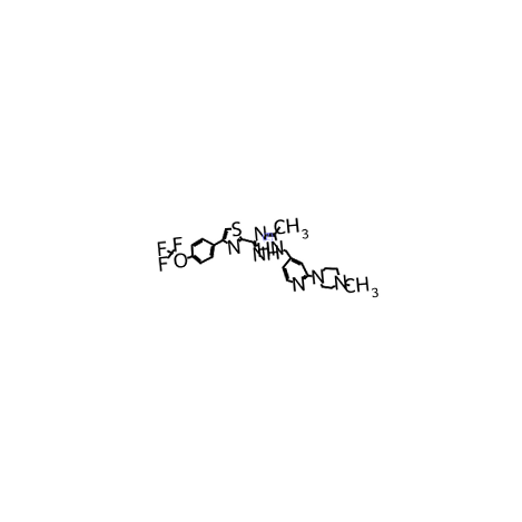 C/C(=N/C(=N)c1nc(-c2ccc(OC(F)(F)F)cc2)cs1)NCc1ccnc(N2CCN(C)CC2)c1